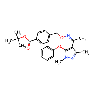 C/C(=N/OCc1ccc(C(=O)OC(C)(C)C)cc1)c1c(C)nn(C)c1Oc1ccccc1